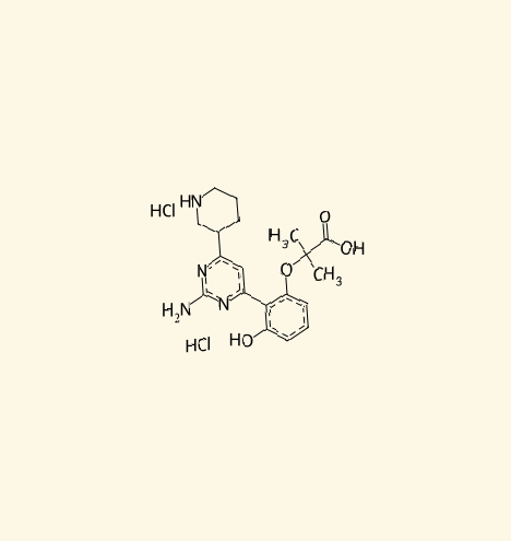 CC(C)(Oc1cccc(O)c1-c1cc(C2CCCNC2)nc(N)n1)C(=O)O.Cl.Cl